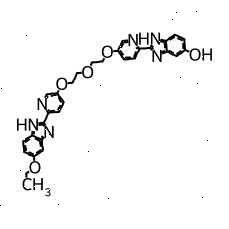 CCOc1ccc2[nH]c(-c3ccc(OCCOCCOc4ccc(-c5nc6cc(O)ccc6[nH]5)nc4)cn3)nc2c1